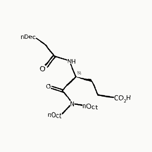 CCCCCCCCCCCC(=O)N[C@@H](CCC(=O)O)C(=O)N(CCCCCCCC)CCCCCCCC